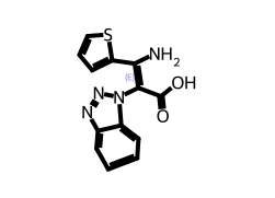 N/C(=C(\C(=O)O)n1nnc2ccccc21)c1cccs1